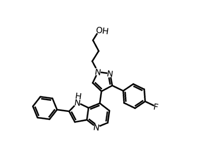 OCCCn1cc(-c2ccnc3cc(-c4ccccc4)[nH]c23)c(-c2ccc(F)cc2)n1